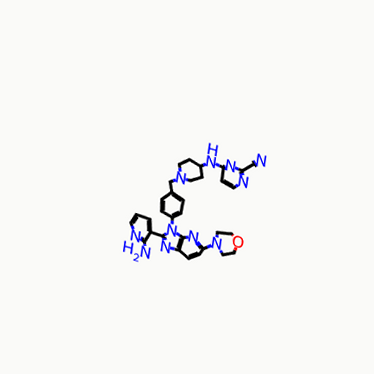 N#Cc1nccc(NC2CCN(Cc3ccc(-n4c(-c5cccnc5N)nc5ccc(N6CCOCC6)nc54)cc3)CC2)n1